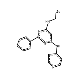 CC(C)(C)CNc1cc(Nc2ccncc2)nc(-c2ccccc2)n1